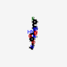 CN1C(=O)[C@@H](NC(=O)n2cc(Cc3cccc(F)c3)cn2)COc2ccc(OCCN3CC3)cc21